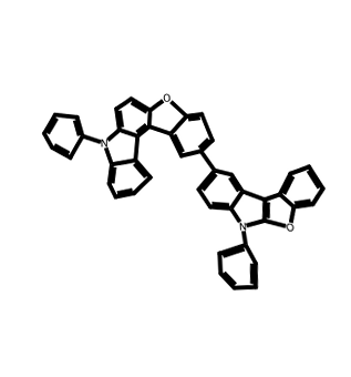 c1ccc(-n2c3ccccc3c3c4c(ccc32)oc2ccc(-c3ccc5c(c3)c3c6ccccc6oc3n5-c3ccccc3)cc24)cc1